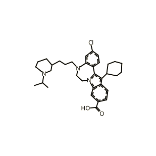 CC(C)N1CCCC(CCCN2CCn3c(c(C4CCCCC4)c4ccc(C(=O)O)cc43)-c3ccc(Cl)cc32)C1